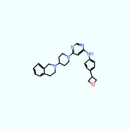 c1ccc2c(c1)CCN(C1CCN(c3cc(Nc4ccc(C5COC5)cc4)ncn3)CC1)C2